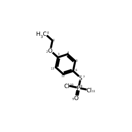 CCOc1ccc(SP(=O)(Cl)Cl)cc1